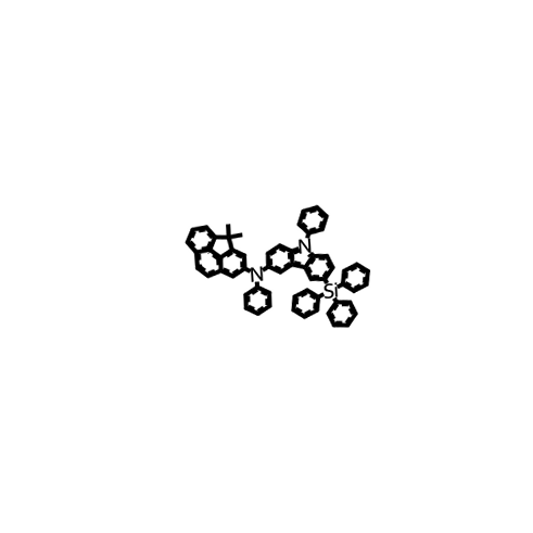 CC1(C)c2cccc3ccc4cc(N(c5ccccc5)c5ccc6c(c5)c5cc([Si](c7ccccc7)(c7ccccc7)c7ccccc7)ccc5n6-c5ccccc5)cc1c4c23